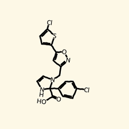 O=C(O)C1(c2ccc(Cl)cc2)NC=CN1Cc1cc(-c2ccc(Cl)s2)on1